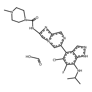 CC(C)Nc1c(F)c(Cl)c(-c2cn3cc(NC(=O)N4CCN(C)CC4)nc3cn2)c2cn[nH]c12.O=CO